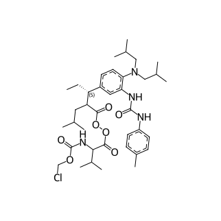 CC[C@H](c1ccc(N(CC(C)C)CC(C)C)c(NC(=O)Nc2ccc(C)cc2)c1)C(CC(C)C)C(=O)OOC(=O)C(NC(=O)OCCl)C(C)C